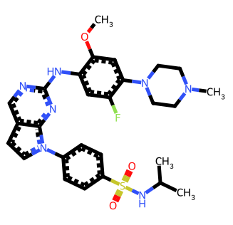 COc1cc(N2CCN(C)CC2)c(F)cc1Nc1ncc2ccn(-c3ccc(S(=O)(=O)NC(C)C)cc3)c2n1